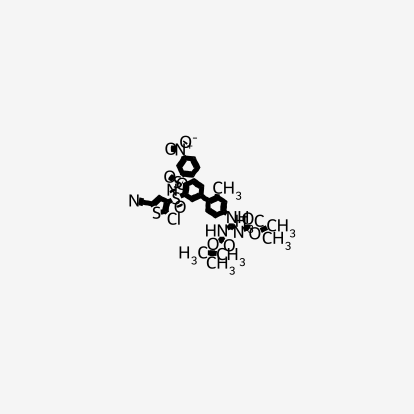 Cc1cc(N/C(=N\C(=O)OC(C)(C)C)NC(=O)OC(C)(C)C)ccc1-c1cccc(S(=O)(=NS(=O)(=O)c2cccc([N+](=O)[O-])c2)c2cc(C#N)sc2Cl)c1